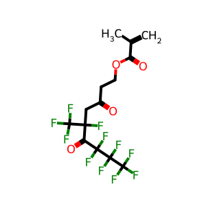 C=C(C)C(=O)OCCC(=O)CC(F)(C(=O)C(F)(F)C(F)(F)C(F)(F)F)C(F)(F)F